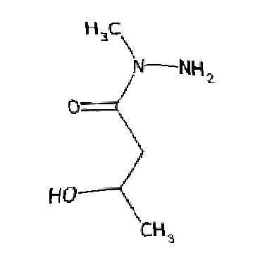 CC(O)CC(=O)N(C)N